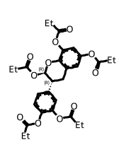 CCC(=O)Oc1cc2c(c(OC(=O)CC)c1)O[C@H](OC(=O)CC)[C@@H](c1ccc(OC(=O)CC)c(OC(=O)CC)c1)C2